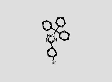 Brc1ccc(-c2nnn(C(c3ccccc3)(c3ccccc3)c3ccccc3)n2)cc1